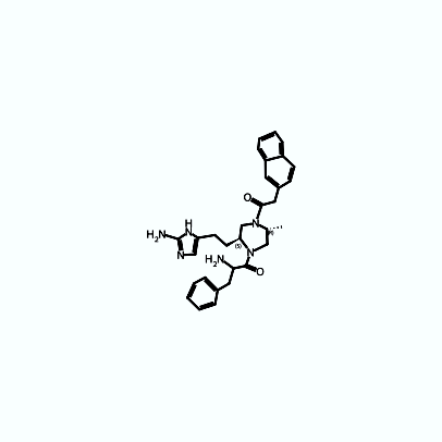 C[C@@H]1CN(C(=O)C(N)Cc2ccccc2)[C@@H](CCc2cnc(N)[nH]2)CN1C(=O)Cc1ccc2ccccc2c1